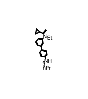 C=C(C1CC1)N(CC)c1cccc(-c2ccc(NSCCC)cc2)c1